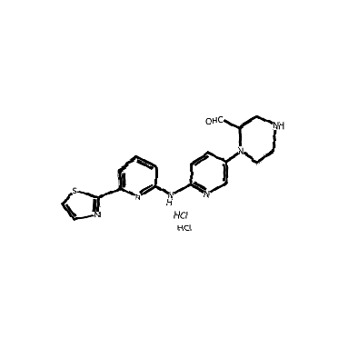 Cl.Cl.O=CC1CNCCN1c1ccc(Nc2cccc(-c3nccs3)n2)nc1